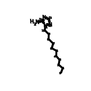 CCCCCCCCCCCn1ncnc1N